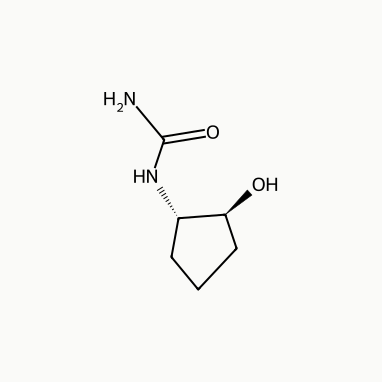 NC(=O)N[C@H]1CCC[C@@H]1O